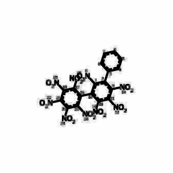 O=[N+]([O-])c1c(-c2ccccc2)c([N+](=O)[O-])c([N+](=O)[O-])c([N+](=O)[O-])c1-c1c([N+](=O)[O-])c([N+](=O)[O-])c([N+](=O)[O-])c([N+](=O)[O-])c1[N+](=O)[O-]